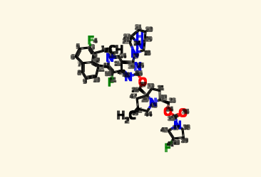 C#Cc1c(F)ccc2cccc(-c3ncc4c(N5CC6CCC(C5)N6)nc(OC[C@@]56CC[C@@H](COC(=O)N7CCC(F)C7)N5CC(=C)C6)nc4c3F)c12